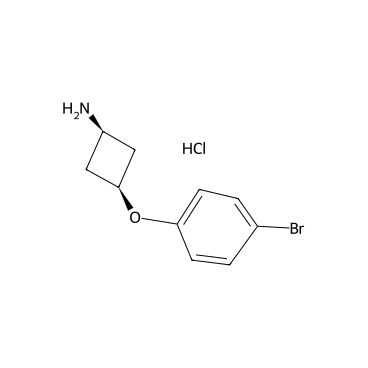 Cl.N[C@H]1C[C@@H](Oc2ccc(Br)cc2)C1